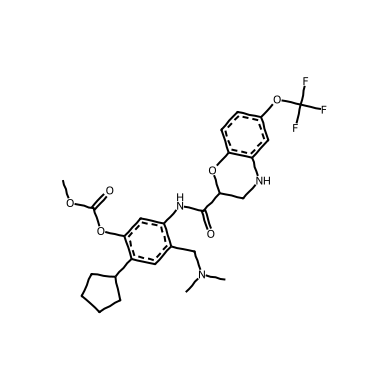 COC(=O)Oc1cc(NC(=O)C2CNc3cc(OC(F)(F)F)ccc3O2)c(CN(C)C)cc1C1CCCC1